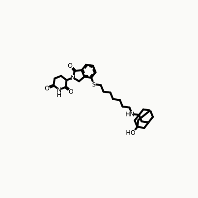 O=C1CCC(N2Cc3c(SCCCCCCCNC45CC6CC(CC(O)(C6)C4)C5)cccc3C2=O)C(=O)N1